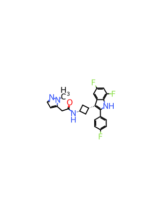 Cn1nccc1CC(=O)N[C@H]1C[C@@H](c2c(-c3ccc(F)cc3)[nH]c3c(F)cc(F)cc32)C1